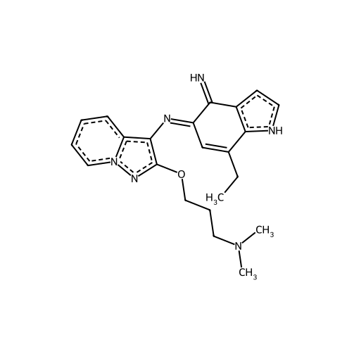 CCC1=CC(=Nc2c(OCCCN(C)C)nn3ccccc23)C(=N)c2cc[nH]c21